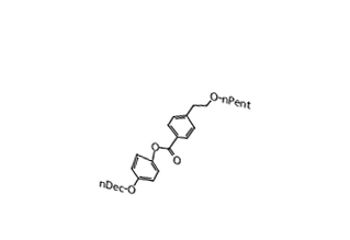 CCCCCCCCCCOc1ccc(OC(=O)c2ccc(CCOCCCCC)cc2)cc1